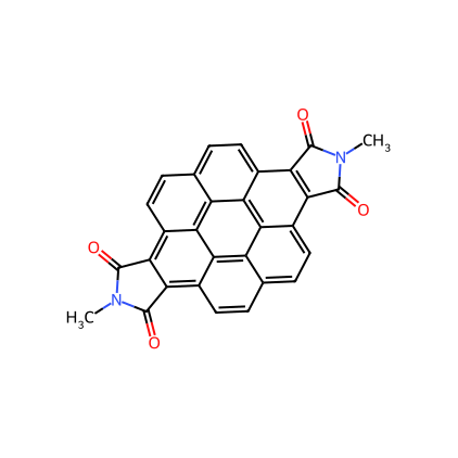 Cn1c(=O)c2c3ccc4ccc5c6c(=O)n(C)c(=O)c6c6ccc7ccc(c2c1=O)c1c7c6c5c4c31